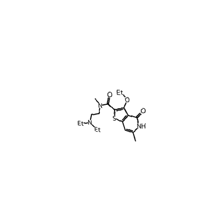 CCOc1c(C(=O)N(C)CCN(CC)CC)sc2cc(C)[nH]c(=O)c12